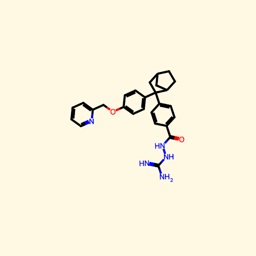 N=C(N)NNC(=O)c1ccc(C2(c3ccc(OCc4ccccn4)cc3)CC3CCC2C3)cc1